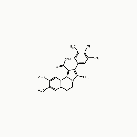 CNC(=O)c1c(-c2cc(C)c(O)c(C)c2)c(C)n2c1-c1cc(OC)c(OC)cc1CC2